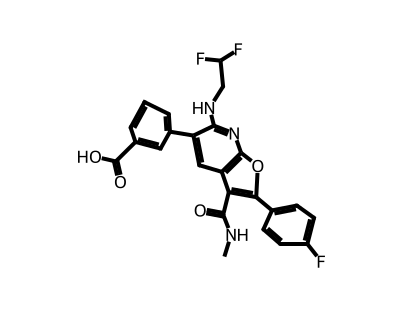 CNC(=O)c1c(-c2ccc(F)cc2)oc2nc(NCC(F)F)c(-c3cccc(C(=O)O)c3)cc12